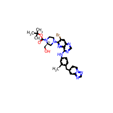 Cc1cc(Nc2ncnc3cc(Br)c(N4CCN(C(=O)OC(C)(C)C)[C@H](CO)C4)nc23)ccc1Cc1ccn2ncnc2c1